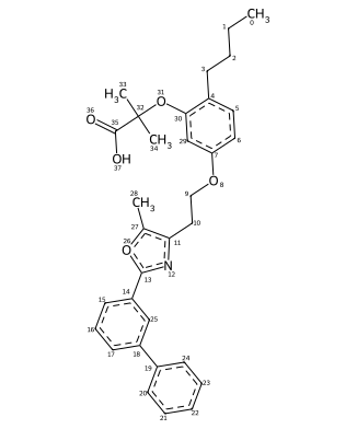 CCCCc1ccc(OCCc2nc(-c3cccc(-c4ccccc4)c3)oc2C)cc1OC(C)(C)C(=O)O